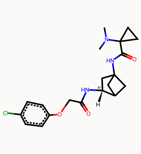 CN(C)C1(C(=O)NC23CC(C2)[C@H](NC(=O)COc2ccc(Cl)cc2)C3)CC1